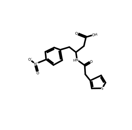 O=C(O)CC(Cc1ccc([N+](=O)[O-])cc1)NC(=O)Cc1ccsc1